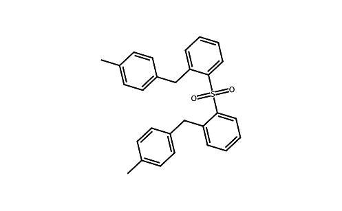 Cc1ccc(Cc2ccccc2S(=O)(=O)c2ccccc2Cc2ccc(C)cc2)cc1